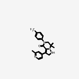 Cc1cc(C2=C3C(=O)N(c4ccc(C(F)(F)F)cc4)CC(C)(C)N3NC2)ccn1